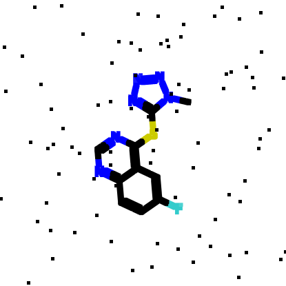 Cn1nnnc1Sc1ncnc2ccc(F)cc12